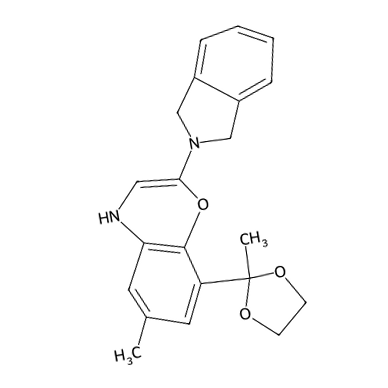 Cc1cc2c(c(C3(C)OCCO3)c1)OC(N1Cc3ccccc3C1)=CN2